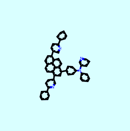 c1ccc(-c2ccc(-c3ccc4ccc5c(-c6ccc(-c7ccccc7)nc6)cc(-c6ccc(N(c7ccccc7)c7cccnc7)cc6)c6ccc3c4c65)cn2)cc1